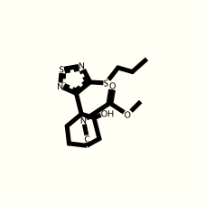 CCCSc1nsnc1C12CCC(CC1O)CN2C(=O)OC